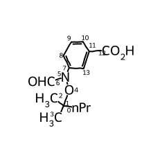 CCCC(C)(C)ON(C=O)c1cccc(C(=O)O)c1